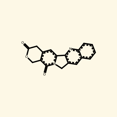 O=C1Cc2cc3n(c(=O)c2CO1)Cc1cc2ccccc2nc1-3